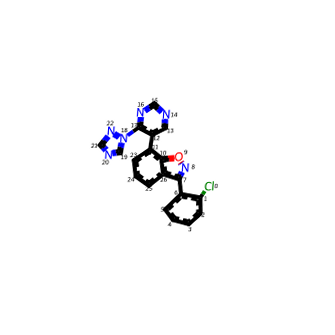 Clc1ccccc1-c1noc2c(-c3cncnc3-n3cncn3)cccc12